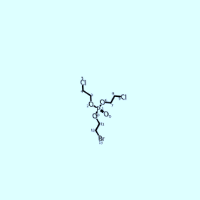 O=P(OCCCl)(OCCCl)OCCBr